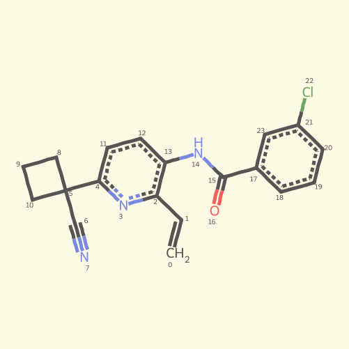 C=Cc1nc(C2(C#N)CCC2)ccc1NC(=O)c1cccc(Cl)c1